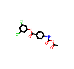 CC(=O)OC(=O)Nc1ccc(C(=O)Oc2cc(Cl)cc(Cl)c2)cc1